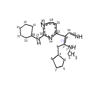 CN/C(CC1CCCC1)=C(\C=N)c1ccnc(NC2CCCCC2)n1